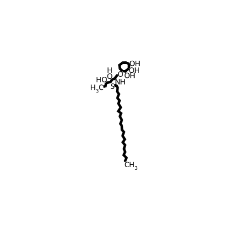 CCCCCCCCCCCCCCCCCCCCCCCCCC(=S)NC(COC1CCCCC(O)C(O)C1O)C(O)CC(O)CC